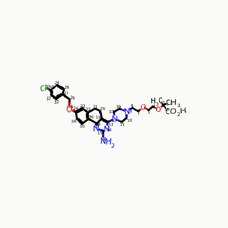 CC(C)(OCCOCCN1CCN(c2nc(N)nc3c2CCc2cc(OCc4ccc(Cl)cc4)ccc2-3)CC1)C(=O)O